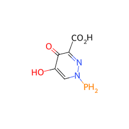 O=C(O)c1nn(P)cc(O)c1=O